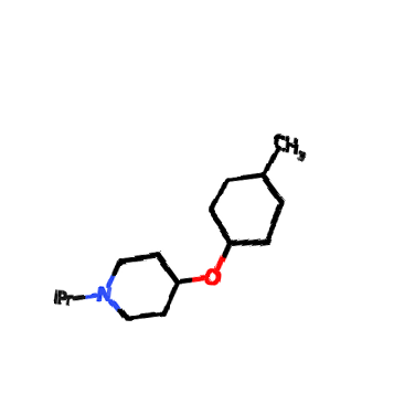 CC1CCC(OC2CCN(C(C)C)CC2)CC1